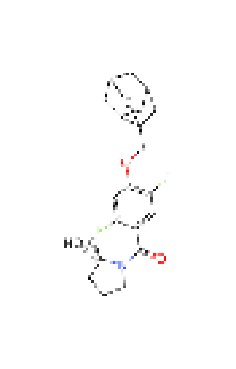 O=C(O)[C@@H]1CCCN1C(=O)c1cc(F)c(OCC23CC4CC(CC2C4)C3)cc1F